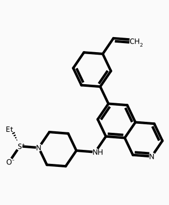 C=CC1C=C(c2cc(NC3CCN([S@+]([O-])CC)CC3)c3cnccc3c2)C=CC1